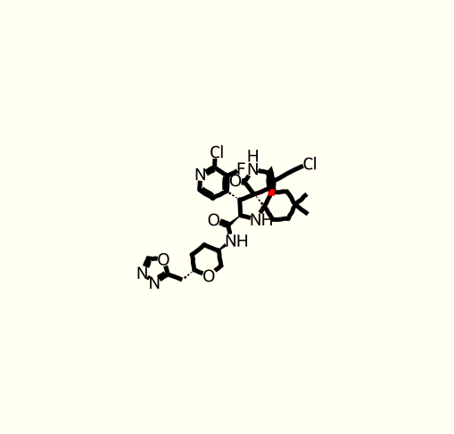 CC1(C)CCC2(CC1)N[C@@H](C(=O)N[C@@H]1CC[C@@H](Cc3nnco3)OC1)[C@H](c1ccnc(Cl)c1F)[C@]21C(=O)Nc2cc(Cl)ccc21